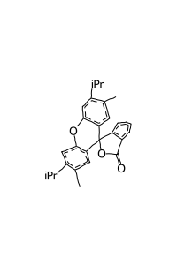 Cc1cc2c(cc1C(C)C)Oc1cc(C(C)C)c(C)cc1C21OC(=O)c2ccccc21